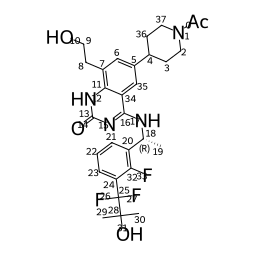 CC(=O)N1CCC(c2cc(CCO)c3[nH]c(=O)nc(N[C@H](C)c4cccc(C(F)(F)C(C)(C)O)c4F)c3c2)CC1